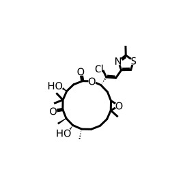 Cc1nc(C=C(Cl)[C@@H]2CC3OC3(C)CCC[C@H](C)[C@H](O)[C@@H](C)C(=O)C(C)(C)[C@@H](O)CC(=O)O2)cs1